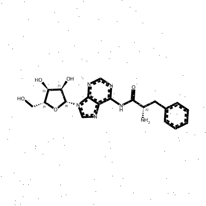 N[C@@H](Cc1ccccc1)C(=O)Nc1ncnc2c1ncn2[C@@H]1O[C@H](CO)[C@@H](O)[C@H]1O